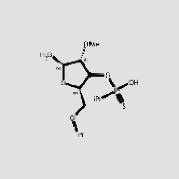 B[C@@H]1O[C@H](COC(C)C)C(OP(O)(=S)C(C)C)[C@H]1OC